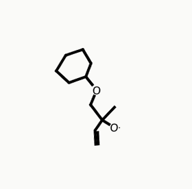 C=CC(C)([O])COC1CCCCC1